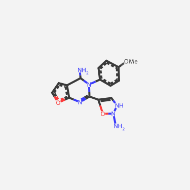 COc1ccc(N2C(C3=CNN(N)O3)=Nc3occc3C2N)cc1